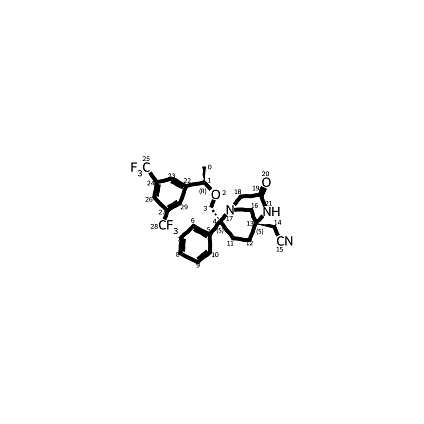 C[C@@H](OC[C@@]1(c2ccccc2)CC[C@]2(CC#N)CN1CC(=O)N2)c1cc(C(F)(F)F)cc(C(F)(F)F)c1